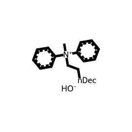 CCCCCCCCCCCC[N+](C)(c1ccccc1)c1ccccc1.[OH-]